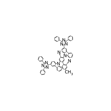 Cc1ccc(-c2cc(-n3c4ccccc4c4cc(-c5nc(-c6ccccc6)nc(-c6ccccc6)n5)ccc43)c(C#N)cc2-n2c3ccccc3c3cc(-c4nc(-c5ccccc5)nc(-c5ccccc5)n4)ccc32)c(C#N)c1